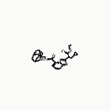 CCOC(=O)C(CC1CC1)c1cn2c(C(=O)NCC34CC5CC(CC(C5)C3)C4)cccc2n1